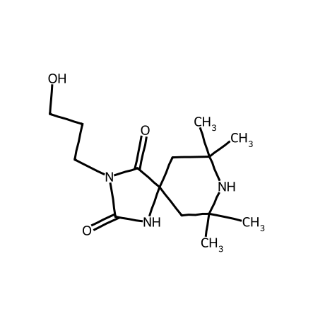 CC1(C)CC2(CC(C)(C)N1)NC(=O)N(CCCO)C2=O